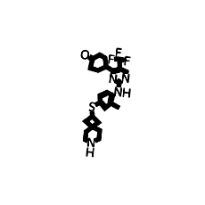 Cc1cc(SC2CC3(CCNCC3)C2)ccc1Nc1ncc(C(F)(F)F)c(C2CCC(=O)CC2)n1